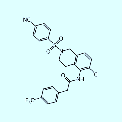 N#Cc1ccc(S(=O)(=O)N2CCc3c(ccc(Cl)c3NC(=O)Cc3ccc(C(F)(F)F)cc3)C2)cc1